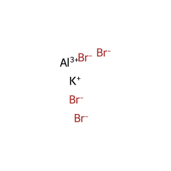 [Al+3].[Br-].[Br-].[Br-].[Br-].[K+]